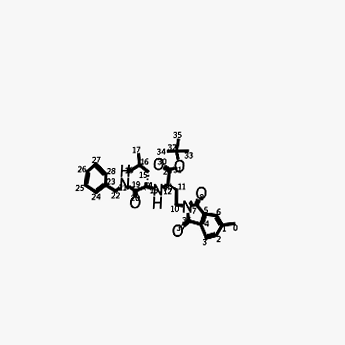 Cc1ccc2c(c1)C(=O)N(CC[C@@H](N[C@@H](CC(C)C)C(=O)NCc1ccccc1)C(=O)OC(C)(C)C)C2=O